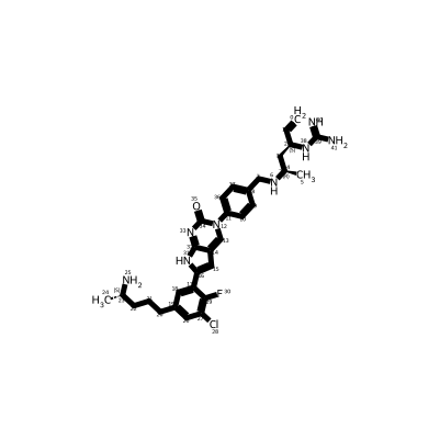 C=C[C@H](C[C@@H](C)NCc1ccc(-n2cc3cc(-c4cc(CCC[C@H](C)N)cc(Cl)c4F)[nH]c3nc2=O)cc1)NC(=N)N